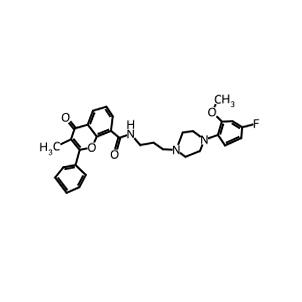 COc1cc(F)ccc1N1CCN(CCCNC(=O)c2cccc3c(=O)c(C)c(-c4ccccc4)oc23)CC1